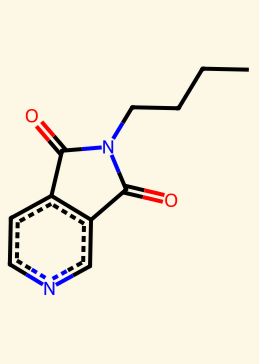 CCCCN1C(=O)c2ccncc2C1=O